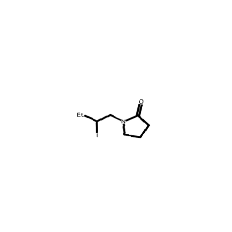 CCC(I)CN1CCCC1=O